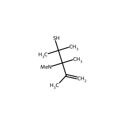 C=C(C)C(C)(NC)C(C)(C)S